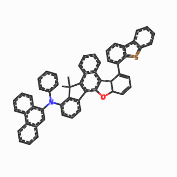 CC1(C)c2c(cccc2N(c2ccccc2)c2cc3ccccc3c3ccccc23)-c2c3c(c4ccccc4c21)C1C(c2cccc4c2sc2ccccc24)=CC=CC1O3